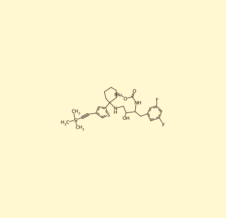 CC(C)(C)OC(=O)NC(Cc1cc(F)cc(F)c1)C(O)CNC1(c2cc(C#C[Si](C)(C)C)cs2)CCCCC1